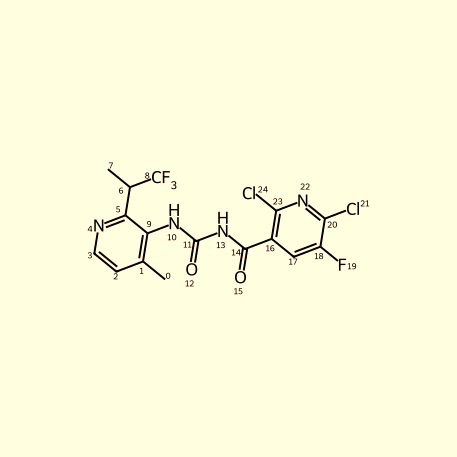 Cc1ccnc(C(C)C(F)(F)F)c1NC(=O)NC(=O)c1cc(F)c(Cl)nc1Cl